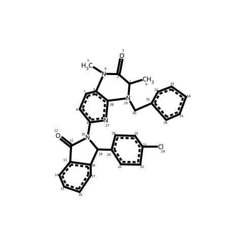 CC1C(=O)N(C)c2ccc(N3C(=O)c4ccccc4C3c3ccc(Cl)cc3)nc2N1Cc1ccccc1